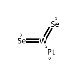 [Pt].[Se]=[W]=[Se]